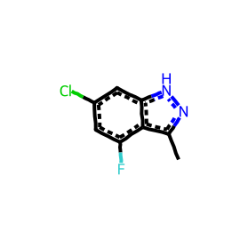 Cc1n[nH]c2cc(Cl)cc(F)c12